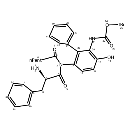 CCCCCC(=O)N(C(=O)[C@H](N)Cc1ccccc1)c1ccc(O)c(NC(=O)OC(C)(C)C)c1-c1ccccc1